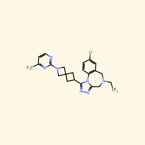 FC(F)(F)CN1Cc2cc(Cl)ccc2-n2c(nnc2C2CC3(C2)CN(c2nccc(C(F)(F)F)n2)C3)C1